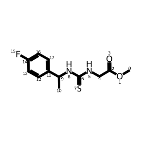 COC(=O)CNC(=S)NC(C)c1ccc(F)cc1